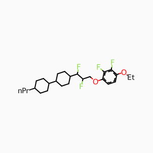 CCCC1CCC(C2CCC(C(F)C(F)COc3ccc(OCC)c(F)c3F)CC2)CC1